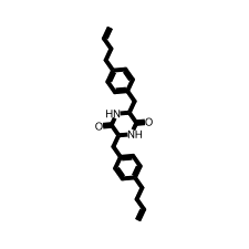 C=CCCc1ccc(CC2NC(=O)C(Cc3ccc(CCC=C)cc3)NC2=O)cc1